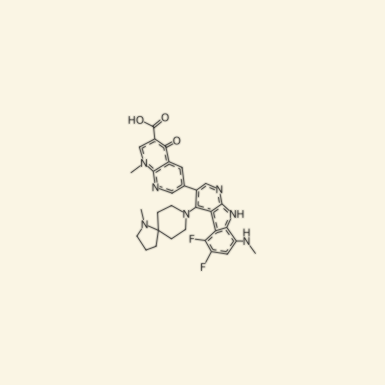 CNc1cc(F)c(F)c2c1[nH]c1ncc(-c3cnc4c(c3)c(=O)c(C(=O)O)cn4C)c(N3CCC4(CCCN4C)CC3)c12